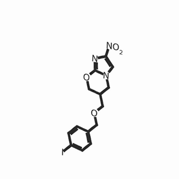 O=[N+]([O-])c1cn2c(n1)OCC(COCc1ccc(I)cc1)C2